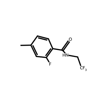 Cc1ccc(C(=O)NCC(F)(F)F)c(F)c1